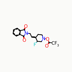 O=C1c2ccccc2C(=O)N1C/C=C1\CCN(OC(=O)C(F)(F)F)CC1F